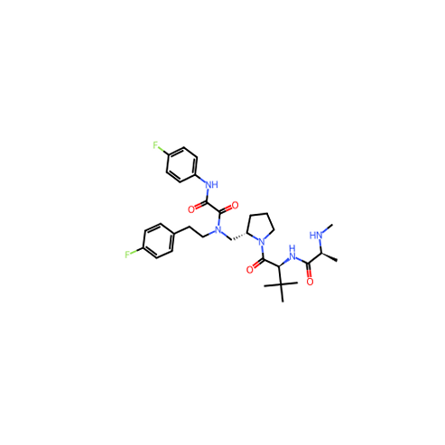 CN[C@@H](C)C(=O)N[C@H](C(=O)N1CCC[C@H]1CN(CCc1ccc(F)cc1)C(=O)C(=O)Nc1ccc(F)cc1)C(C)(C)C